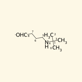 CC(C)(C)NCCC[C]=O